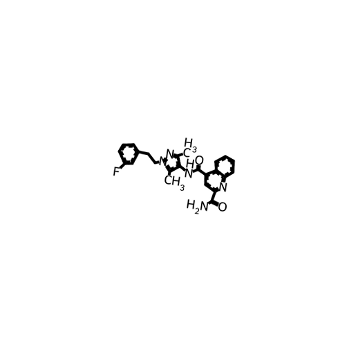 Cc1nn(CCc2cccc(F)c2)c(C)c1NC(=O)c1cc(C(N)=O)nc2ccccc12